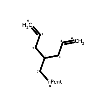 C=CCC(CC=C)CCCCCC